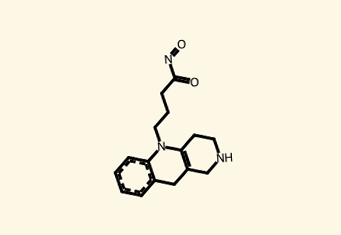 O=NC(=O)CCCN1C2=C(CNCC2)Cc2ccccc21